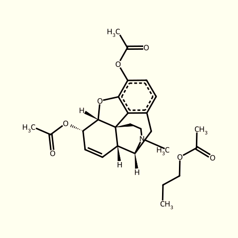 CC(=O)Oc1ccc2c3c1O[C@H]1[C@@H](OC(C)=O)C=C[C@H]4[C@@H](C2)N(C)CC[C@@]341.CCCOC(C)=O